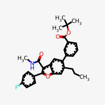 CCCc1cc2oc(-c3ccc(F)cc3)c(C(=O)NC)c2cc1-c1cccc(C(=O)OC(C)(C)C)c1